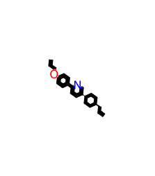 C=CCOc1ccc(-c2ccc([C@H]3CC[C@H](CC=C)CC3)cn2)cc1